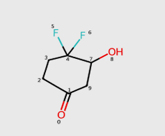 O=C1CCC(F)(F)C(O)C1